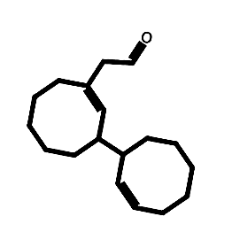 O=CCC1=CC(C2C=CCCCCC2)CCCCC1